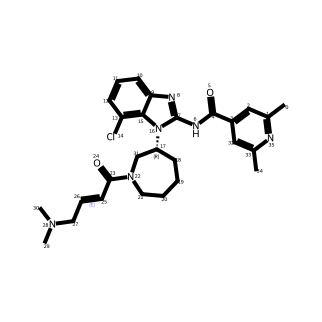 Cc1cc(C(=O)Nc2nc3cccc(Cl)c3n2[C@@H]2CCCCN(C(=O)/C=C/CN(C)C)C2)cc(C)n1